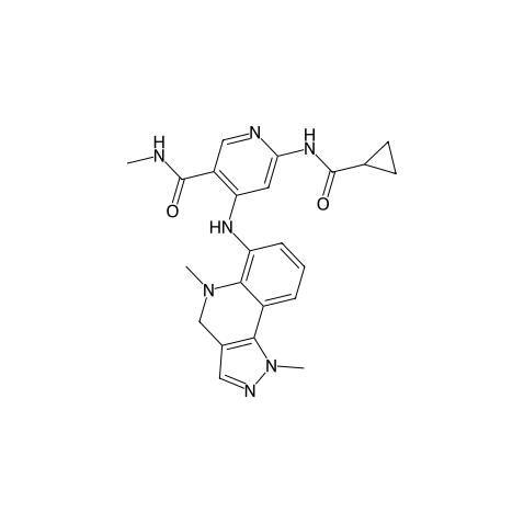 CNC(=O)c1cnc(NC(=O)C2CC2)cc1Nc1cccc2c1N(C)Cc1cnn(C)c1-2